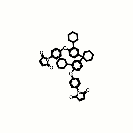 O=C1C=CC(=O)N1c1ccc(Oc2ccc(C3(c4ccc(Oc5ccc(N6C(=O)C=CC6=O)cc5)c(C5CCCCC5)c4)CCCCC3)cc2C2CCCCC2)cc1